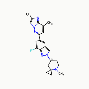 Cc1cn2nc(-c3cc(F)c4nn([C@H]5CCN(C)C6(CC6)C5)cc4c3)cc(C)c2n1